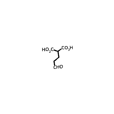 O=CCCC(C(=O)O)C(=O)O